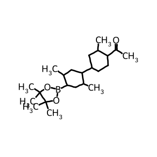 CC(=O)C1CCC(C2CC(C)C(B3OC(C)(C)C(C)(C)O3)CC2C)CC1C